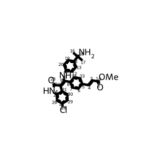 COC(=O)/C=C/c1ccc(/C(Nc2ccc(C(C)(C)N)cc2)=C2/C(=O)Nc3cc(Cl)ccc32)cc1